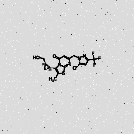 Cc1sc2nc(Cn3nc(C(F)(F)F)cc3Cl)cc(=O)n2c1[C@@H]1C[C@H]1CO